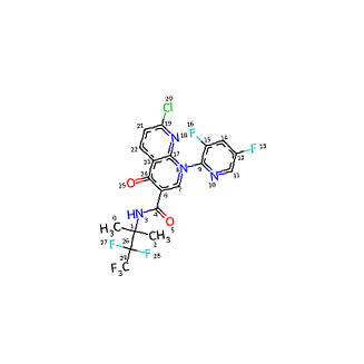 CC(C)(NC(=O)c1cn(-c2ncc(F)cc2F)c2nc(Cl)ccc2c1=O)C(F)(F)C(F)(F)F